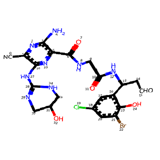 N#Cc1nc(N)c(C(=O)NCC(=O)NC(CC=O)c2cc(Cl)cc(Br)c2O)nc1NC1=NCC(O)CN1